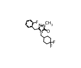 Cn1nc(Cc2ccccc2F)n(CC2CCC(F)(F)CC2)c1=O